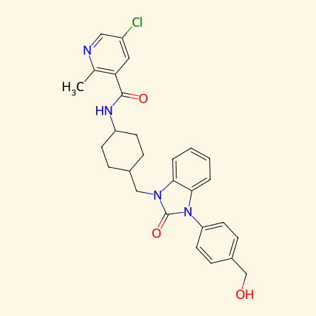 Cc1ncc(Cl)cc1C(=O)NC1CCC(Cn2c(=O)n(-c3ccc(CO)cc3)c3ccccc32)CC1